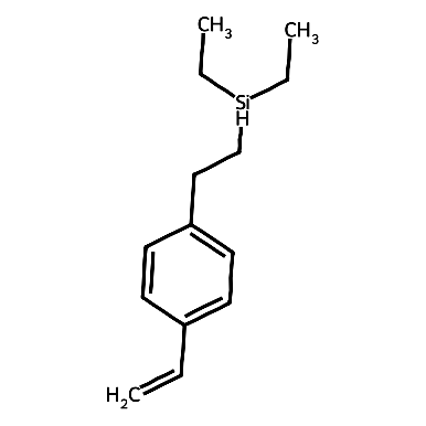 C=Cc1ccc(CC[SiH](CC)CC)cc1